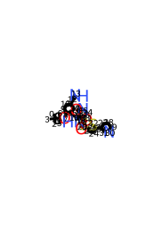 CC(C)(C)[Si](C)(C)Oc1ccc(C#N)cc1C[C@]1(NS(=O)(=O)c2ccc(-c3cccnc3)s2)CCNC1=O